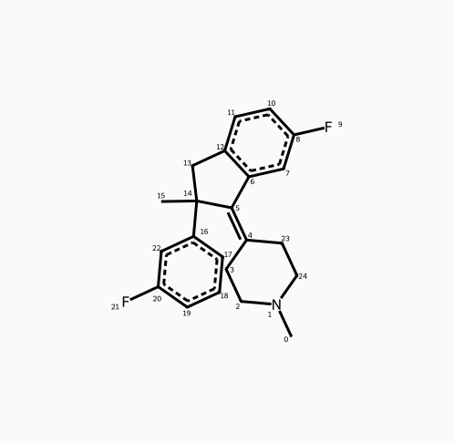 CN1CCC(=C2c3cc(F)ccc3CC2(C)c2cccc(F)c2)CC1